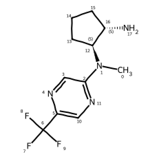 CN(c1cnc(C(F)(F)F)cn1)[C@H]1CCC[C@@H]1N